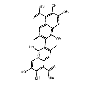 CCCCC(=O)c1c(O)c(O)cc2c(O)c(-c3c(C)cc4c(C(=O)CCCC)c(O)c(O)cc4c3O)c(C)cc12